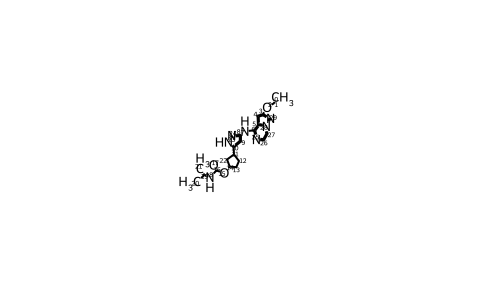 CCOc1cc2c(Nc3cc(C4CCC(OC(=O)NC(C)C)C4)[nH]n3)nccn2n1